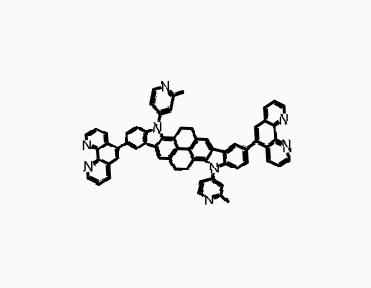 Cc1cc(-n2c3ccc(-c4cc5cccnc5c5ncccc45)cc3c3cc4c5c(c32)CCc2cc3c6cc(-c7cc8cccnc8c8ncccc78)ccc6n(-c6ccnc(C)c6)c3c(c2-5)CC4)ccn1